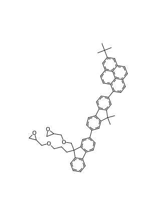 CC(C)(C)c1cc2ccc3ccc(-c4ccc5c(c4)C(C)(C)c4cc(-c6ccc7c(c6)C(CCCOCC6CO6)(COCC6CO6)c6ccccc6-7)ccc4-5)c4ccc(c1)c2c34